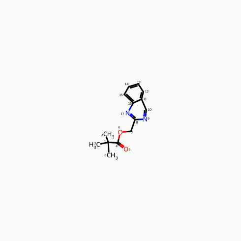 CC(C)(C)C(=O)OCc1ncc2ccccc2n1